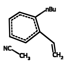 C=Cc1ccccc1CCCC.CC#N